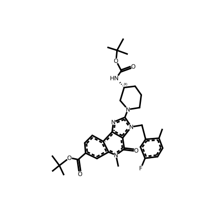 Cc1ccc(F)cc1Cn1c(N2CCC[C@@H](NC(=O)OC(C)(C)C)C2)nc2c3ccc(C(=O)OC(C)(C)C)cc3n(C)c(=O)c21